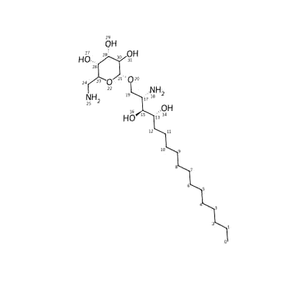 CCCCCCCCCCCCC[C@@H](O)[C@@H](O)[C@@H](N)CO[C@@H]1OC(CN)[C@H](O)[C@H](O)C1O